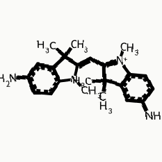 CN1C(=CC2=[N+](C)c3ccc(N)cc3C2(C)C)C(C)(C)c2cc(N)ccc21